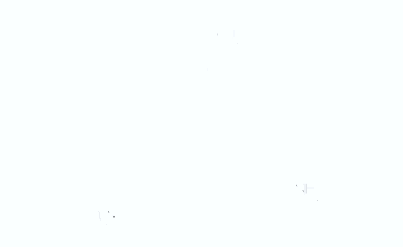 C=C(Cc1ccc(N)cc1)c1ccc(N)cc1